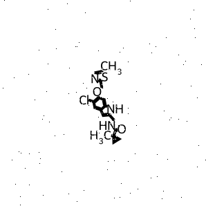 Cc1cnc(COc2cc3[nH]c(CNC(=O)C4(C)CC4)cc3cc2Cl)s1